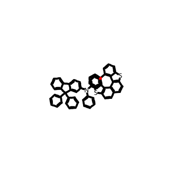 c1ccc(N(c2ccc(-c3cccc4sc5ccc6ccc7sc8ccccc8c7c6c5c34)cc2)c2ccc3c(c2)C(c2ccccc2)(c2ccccc2)c2ccccc2-3)cc1